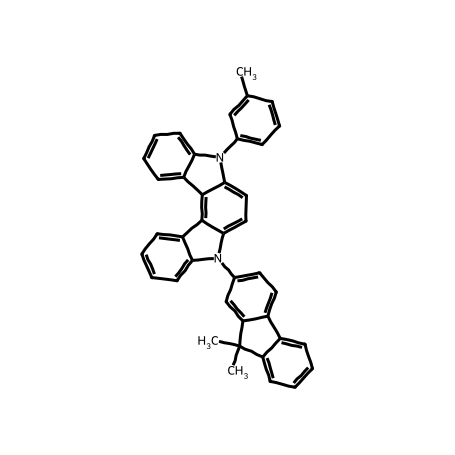 Cc1cccc(-n2c3ccccc3c3c4c5ccccc5n(-c5ccc6c(c5)C(C)(C)c5ccccc5-6)c4ccc32)c1